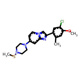 COc1cc(C)c(-c2cn3ccc(N4CCN(SC)CC4)cc3n2)cc1Cl